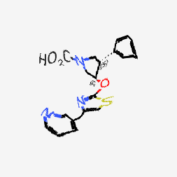 O=C(O)N1C[C@H](Oc2nc(-c3cccnc3)cs2)[C@@H](c2ccccc2)C1